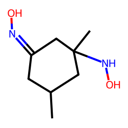 CC1CC(=NO)CC(C)(NO)C1